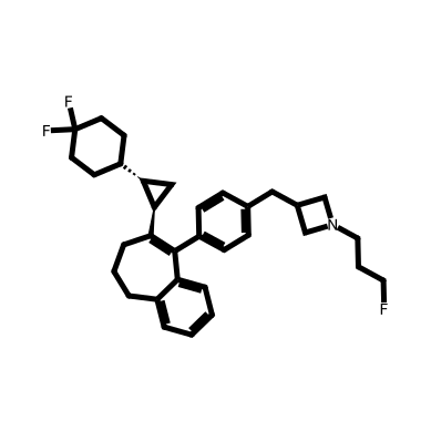 FCCCN1CC(Cc2ccc(C3=C([C@@H]4C[C@H]4C4CCC(F)(F)CC4)CCCc4ccccc43)cc2)C1